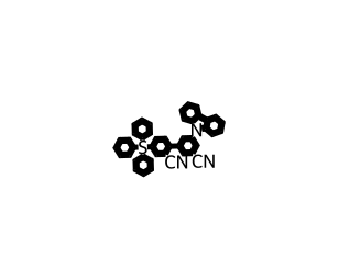 N#Cc1cc(-c2ccc(S(c3ccccc3)(c3ccccc3)c3ccccc3)cc2C#N)cc(-n2c3ccccc3c3ccccc32)c1